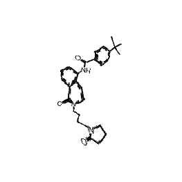 CC(C)(C)c1ccc(C(=O)Nc2cccc3c(=O)n(CCCN4CCCC4=O)ccc23)cc1